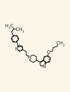 CCCCOc1ccc2c(c1)=C(C1CCN(CCc3cnn(-c4ccc(CC(C)C)cc4)c3)CC1)CN=2